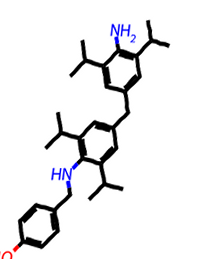 CC(C)c1cc(Cc2cc(C(C)C)c(NCc3ccc(O)cc3)c(C(C)C)c2)cc(C(C)C)c1N